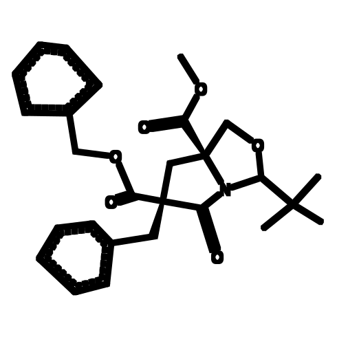 COC(=O)[C@@]12COC(C(C)(C)C)N1C(=O)[C@](Cc1ccccc1)(C(=O)OCc1ccccc1)C2